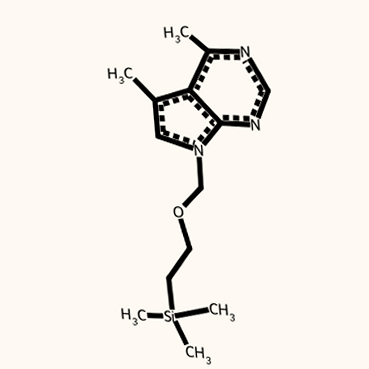 Cc1cn(COCC[Si](C)(C)C)c2ncnc(C)c12